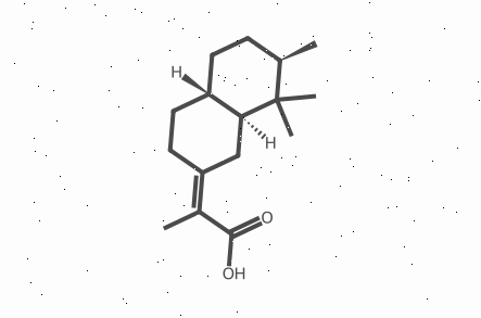 CC(C(=O)O)=C1CC[C@@H]2CC[C@@H](C)C(C)(C)[C@H]2C1